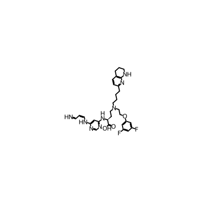 N=C/C=C\Nc1cc(N[C@@H](CCN(CCCCc2ccc3c(n2)NCCC3)CCOc2cc(F)cc(F)c2)C(=O)O)ncn1